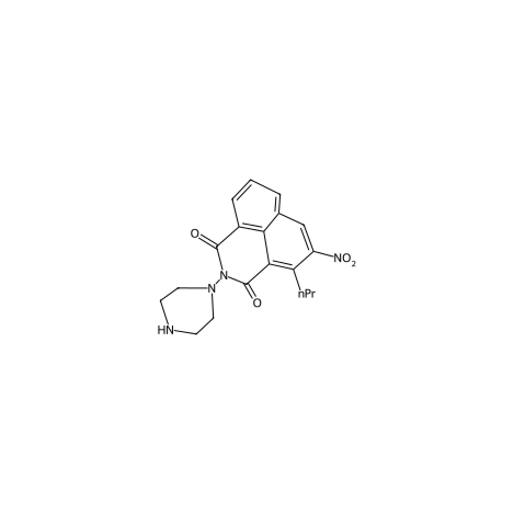 CCCc1c([N+](=O)[O-])cc2cccc3c2c1C(=O)N(N1CCNCC1)C3=O